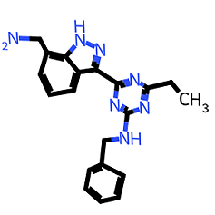 CCc1nc(NCc2ccccc2)nc(-c2n[nH]c3c(CN)cccc23)n1